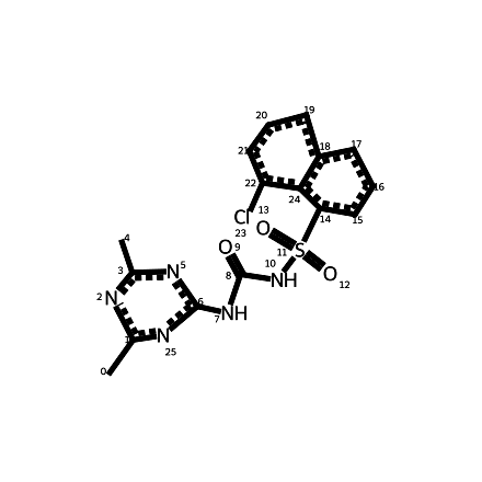 Cc1nc(C)nc(NC(=O)NS(=O)(=O)c2cccc3cccc(Cl)c23)n1